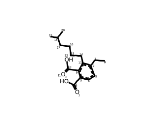 CCc1ccc(C(=O)O)c(C(=O)O)c1CCCCC(C)C